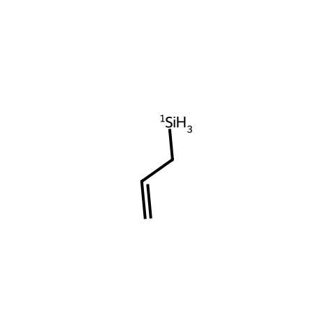 C=CC[1SiH3]